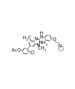 C=Nc1cc(-c2cc(OC(C)=O)ccc2Cl)cc(C)c1/N=C(\N)Nc1ccc(OCCN2CCCC2)cc1